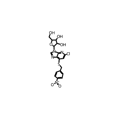 O=[N+]([O-])c1ccc(CSc2cc(Cl)nc3c2ncn3C2OC(CO)C(O)C2O)cc1